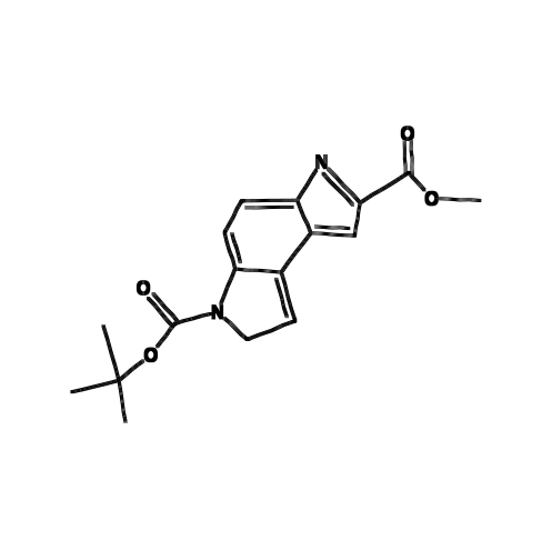 COC(=O)C1=Nc2ccc3c(c2=C1)=CCN3C(=O)OC(C)(C)C